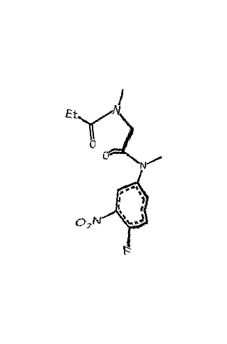 CCC(=O)N(C)CC(=O)N(C)c1ccc(F)c([N+](=O)[O-])c1